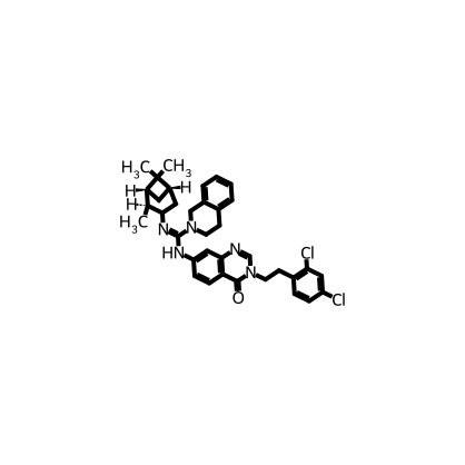 C[C@@H]1C(/N=C(/Nc2ccc3c(=O)n(CCc4ccc(Cl)cc4Cl)cnc3c2)N2CCc3ccccc3C2)C[C@@H]2C[C@H]1C2(C)C